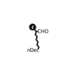 CCCCCCCCCCCCCCCCC(C=O)[C]12[CH]3[CH]4[CH]5[CH]1[Fe]45321678[CH]2[CH]1[CH]6[CH]7[CH]28